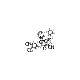 N#CC(COCc1ccccc1)NC(=O)C(Cc1ccc(Cl)c(Cl)c1)OC(=O)N1CCOCC1